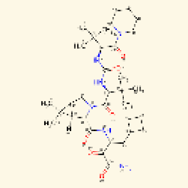 CC(C)(C)[C@H](NC(=O)N[C@H](C(=O)N1CC2[C@@H]([C@H]1C(=O)NC(CC1CCC1)C(=O)C(N)=O)C2(C)C)C(C)(C)C)C(=O)N1CCCCC1